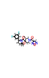 O=C(c1cnon1)N1CCC2(CC1)O[C@@H]1CC[C@@H](c3cc(F)cc(F)c3)N1C2=O